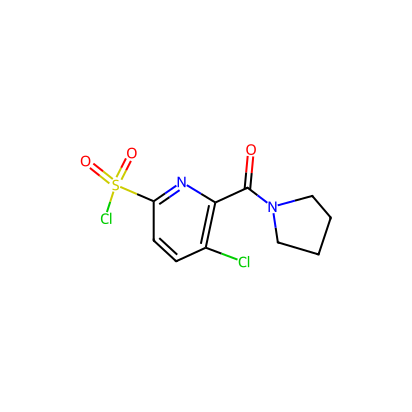 O=C(c1nc(S(=O)(=O)Cl)ccc1Cl)N1CCCC1